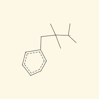 C[C](C)C(C)(C)Cc1ccccc1